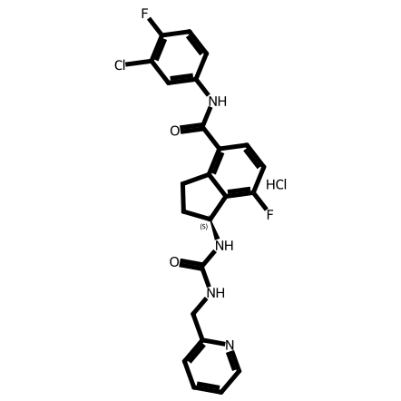 Cl.O=C(NCc1ccccn1)N[C@H]1CCc2c(C(=O)Nc3ccc(F)c(Cl)c3)ccc(F)c21